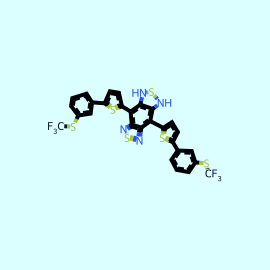 FC(F)(F)Sc1cccc(-c2ccc(-c3c4c(c(-c5ccc(-c6cccc(SC(F)(F)F)c6)s5)c5nsnc35)NSN4)s2)c1